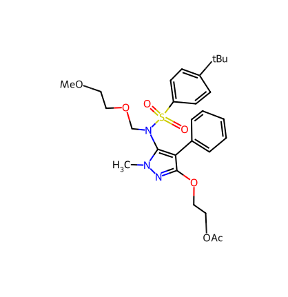 COCCOCN(c1c(-c2ccccc2)c(OCCOC(C)=O)nn1C)S(=O)(=O)c1ccc(C(C)(C)C)cc1